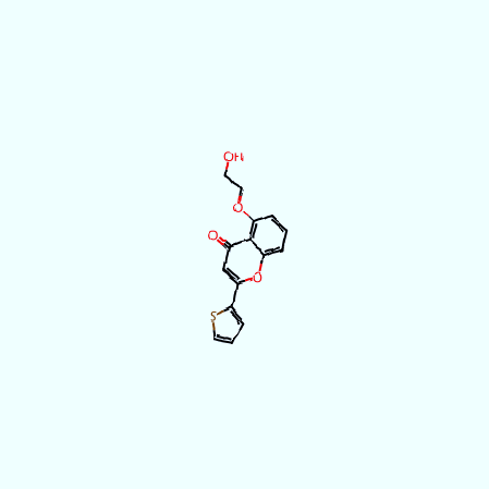 O=c1cc(-c2cccs2)oc2cccc(OCCO)c12